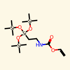 C=COC(=O)NCC[Si](O[Si](C)(C)C)(O[Si](C)(C)C)O[Si](C)(C)C